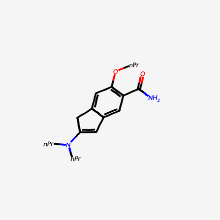 CCCOc1cc2c(cc1C(N)=O)C=C(N(CCC)CCC)C2